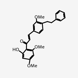 COc1cc(O)c(C(=O)C=Cc2ccc(CCc3ccccc3)c(OC)c2)c(OC)c1